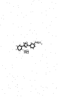 Cl.Cl.NCc1cccc(-c2nc(-c3cccnc3)no2)c1